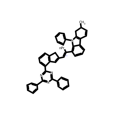 CCC/C(=C\C1=Cc2c(cccc2-c2nc(-c3ccccc3)nc(-c3ccccc3)n2)C1)c1cccc2c3c(n(-c4ccccc4)c12)CC(C)C=C3